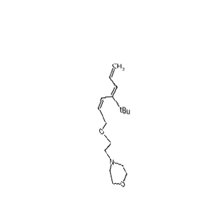 C=C/C=C(\C=C/COCCN1CCOCC1)C(C)(C)C